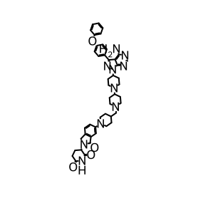 Nc1ncnc2c1c(-c1ccc(Oc3ccccc3)cc1)nn2C1CCN(C2CCN(CC3CCN(c4ccc5c(c4)C(=O)N(C4CCC(=O)NC4=O)C5)CC3)CC2)CC1